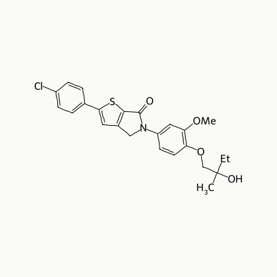 CCC(C)(O)COc1ccc(N2Cc3cc(-c4ccc(Cl)cc4)sc3C2=O)cc1OC